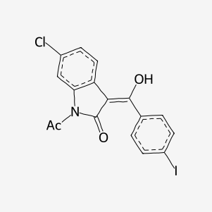 CC(=O)N1C(=O)/C(=C(/O)c2ccc(I)cc2)c2ccc(Cl)cc21